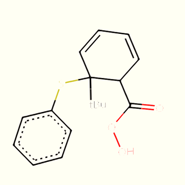 CC(C)(C)C1(Sc2ccccc2)C=CC=CC1C(=O)OO